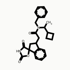 CC(C1CCC1)N(Cc1ccccc1)C(=O)CC1CC2(OC(=O)NC2=O)c2ccccc21